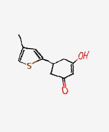 Cc1csc(C2CC(=O)C=C(O)C2)c1